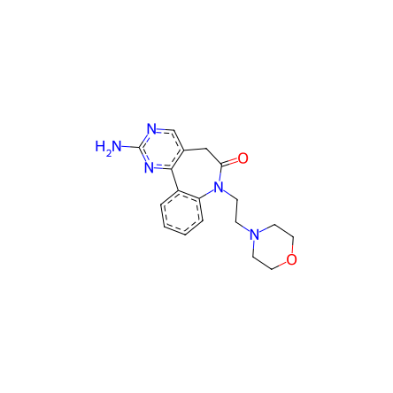 Nc1ncc2c(n1)-c1ccccc1N(CCN1CCOCC1)C(=O)C2